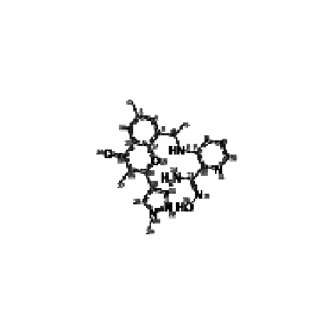 Cc1cc(C(C)Nc2cccnc2C(N)=NO)c2oc(-c3cnn(C)c3)c(C)c(=O)c2c1